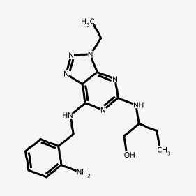 CCC(CO)Nc1nc(NCc2ccccc2N)c2nnn(CC)c2n1